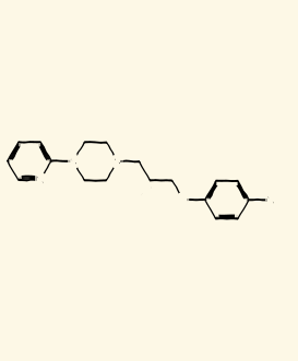 O=[N+]([O-])c1ccc(OC[C@H](O)CN2CCN(c3ccccn3)CC2)cc1